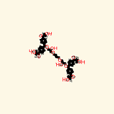 CC(C)(O)C(=O)c1ccc(C(OCC(O)COCCCCOCC(O)COC(c2ccc(C(=O)C(C)(C)O)cc2)c2ccc(C(=O)C(C)(C)O)cc2)c2ccc(C(=O)C(C)(C)O)cc2)cc1